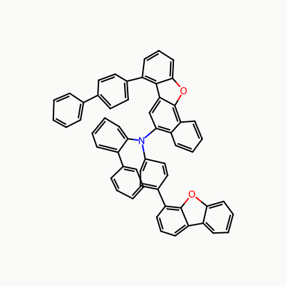 c1ccc(-c2ccc(-c3cccc4oc5c6ccccc6c(N(c6ccc(-c7cccc8c7oc7ccccc78)cc6)c6ccccc6-c6ccccc6)cc5c34)cc2)cc1